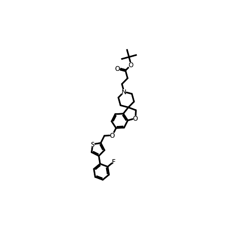 CC(C)(C)OC(=O)CCN1CCC2(CC1)COc1cc(OCc3cc(-c4ccccc4F)cs3)ccc12